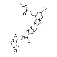 CCOC(=O)CCc1cc(C2CC2)cn2cc(Cn3cc(C(=O)NCc4ncn5ccc(Cl)c(F)c45)nn3)nc12